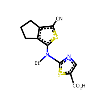 CCN(c1ncc(C(=O)O)s1)c1sc(C#N)c2c1CCC2